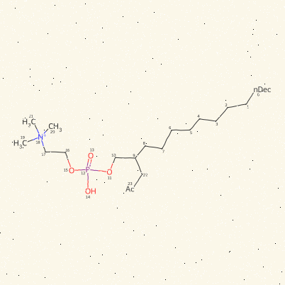 CCCCCCCCCCCCCCCCCCC(COP(=O)(O)OCC[N+](C)(C)C)CC(C)=O